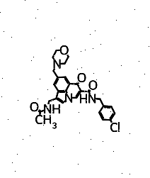 CC(=O)NCc1cn2cc(C(=O)NCc3ccc(Cl)cc3)c(=O)c3cc(CN4CCOCC4)cc1c32